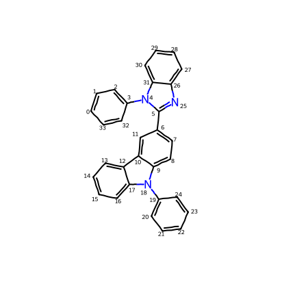 c1ccc(-n2c(-c3ccc4c(c3)c3ccccc3n4-c3ccccc3)nc3ccccc32)cc1